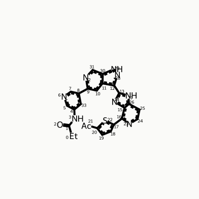 CCC(=O)Nc1cncc(-c2cc3c(-c4nc5c(-c6ccc(C(C)=O)s6)nccc5[nH]4)n[nH]c3cn2)c1